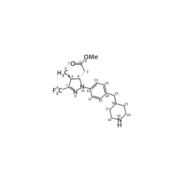 COC(=O)C[C@H]1[C@H](C)C(C(F)(F)F)=NN1c1ccc(CC2CCNCC2)cc1